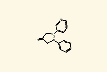 O=C1CN(c2cccnc2)N(c2cccnc2)C1